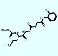 CCc1ccccc1NC(=O)CSC(=O)NNC(=O)[C@H](CCC(=O)O)NC(=O)OC(C)(C)C